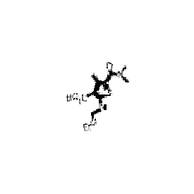 CCOC=Nc1sc(C(=O)N(C)C)c(C)c1C(=O)OCC